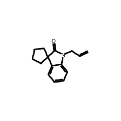 C=CCN1C(=O)C2(CCCC2)c2ccccc21